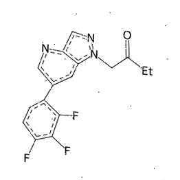 CCC(=O)Cn1ncc2ncc(-c3ccc(F)c(F)c3F)cc21